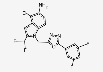 Nc1ccc2c(cc(C(F)F)n2Cc2nnc(-c3cc(F)cc(F)c3)o2)c1Cl